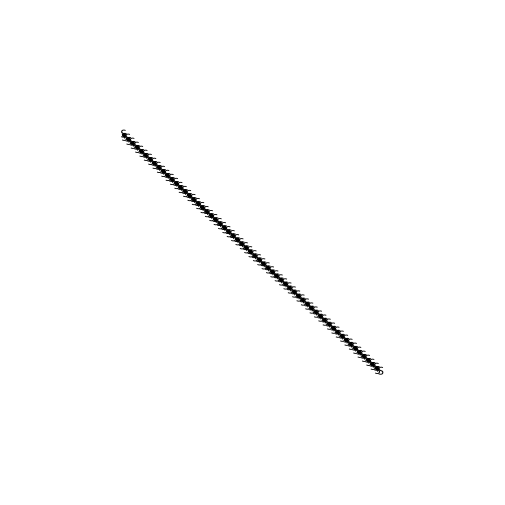 S=S=S=S=S=S=S=S=S=S=S=S=S=S=S=S=S=S=S=S=S=S=S=S=S=S=S=S=S=S=S=S=S=S=S=S=S=S=S=S=S=S=S=S=S=S=S=S=S=S=S=S=S=S=S=S=S=S=S=S=S=S=S=S=S=S=S=S=S=S=S=S=S=S=S=S=S=S=S=S=S=S=S=S=S=S=S=S=S=S=S=S=S=S=S=S=S=S=S=S=S=S=S=S=S=S=S=S=S=S=S=S=S=S=S=S=S=S=S